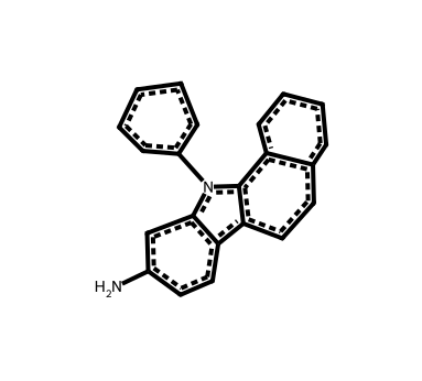 Nc1ccc2c3ccc4ccccc4c3n(-c3ccccc3)c2c1